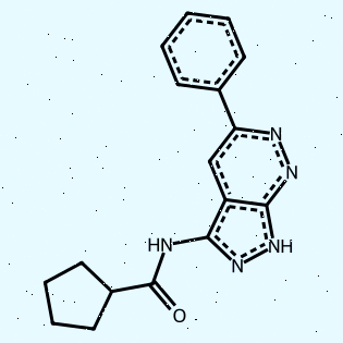 O=C(Nc1n[nH]c2nnc(-c3ccccc3)cc12)C1CCCC1